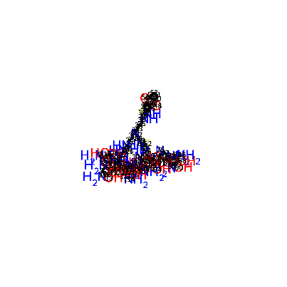 NCC1O[C@H](O[C@@H]2C(N)C[C@@H](N)C(O)[C@H]2OC2O[C@H](CSCCNC(=S)NCCCCN(CCCCCNC(=S)Nc3ccc4c(c3)C(=O)c3ccccc3C4=O)CCCNC(=S)NCCSC[C@H]3OC(O[C@@H]4C(O)[C@H](N)CC(N)[C@H]4O[C@H]4OC(CN)[C@@H](O)[C@H](O)C4N)[C@@H](O)[C@H]3O[C@H]3O[C@@H](CN)[C@@H](O)C(O)C3N)[C@H](O[C@H]3O[C@@H](CN)[C@@H](O)C(O)C3N)[C@@H]2O)C(N)[C@@H](O)[C@@H]1O